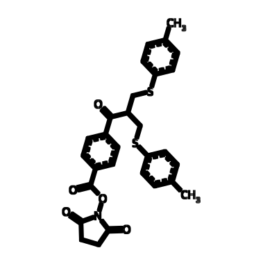 Cc1ccc(SCC(CSc2ccc(C)cc2)C(=O)c2ccc(C(=O)ON3C(=O)CCC3=O)cc2)cc1